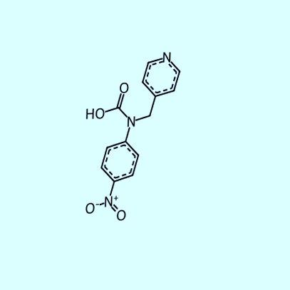 O=C(O)N(Cc1ccncc1)c1ccc([N+](=O)[O-])cc1